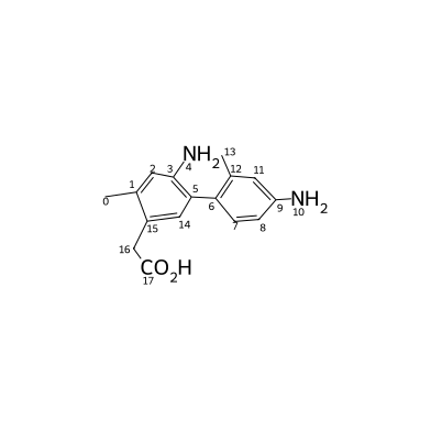 Cc1cc(N)c(-c2ccc(N)cc2C)cc1CC(=O)O